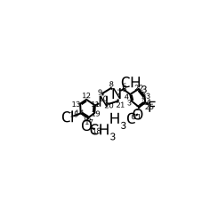 COc1cc(C(C)N2CCN(c3ccc(Cl)c(OC)c3)CC2)ccc1F